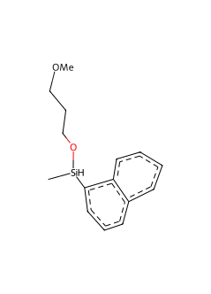 COCCCO[SiH](C)c1cccc2ccccc12